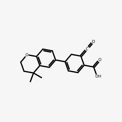 CC1(C)CCOc2ccc(C3=CC=C(C(=O)O)C(=C=O)C3)cc21